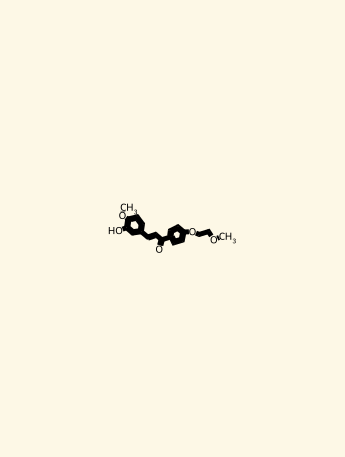 COCCOc1ccc(C(=O)/C=C/c2ccc(OC)c(O)c2)cc1